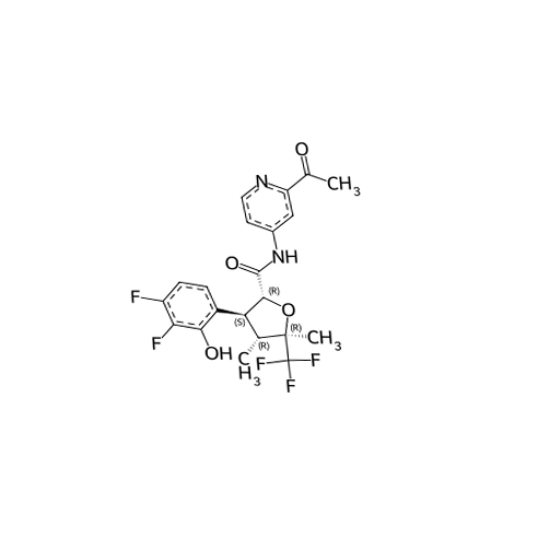 CC(=O)c1cc(NC(=O)[C@@H]2O[C@@](C)(C(F)(F)F)[C@H](C)[C@H]2c2ccc(F)c(F)c2O)ccn1